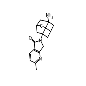 Cc1ccc2c(n1)CN(C13CC4CC5(N)CC(C1)C53C4)C2=O